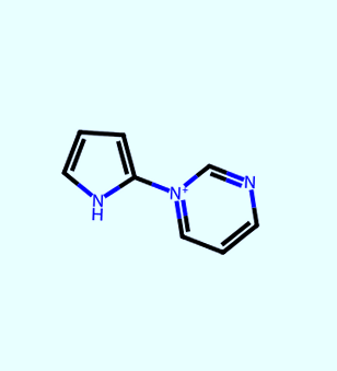 c1c[nH]c(-[n+]2cccnc2)c1